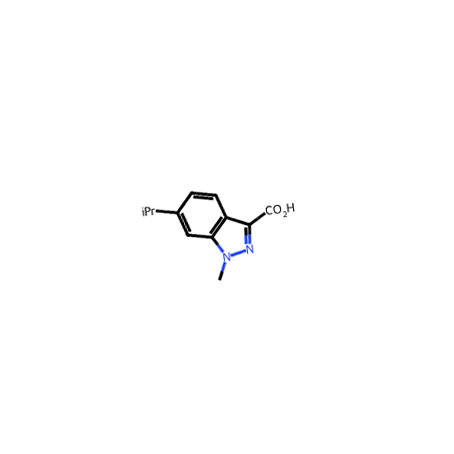 CC(C)c1ccc2c(C(=O)O)nn(C)c2c1